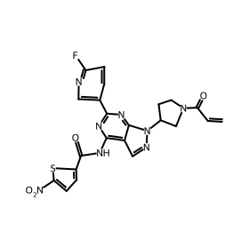 C=CC(=O)N1CCC(n2ncc3c(NC(=O)c4ccc([N+](=O)[O-])s4)nc(-c4ccc(F)nc4)nc32)C1